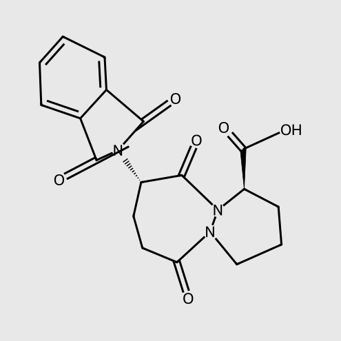 O=C(O)[C@H]1CCCN2C(=O)CC[C@H](N3C(=O)c4ccccc4C3=O)C(=O)N12